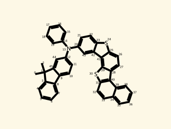 CC1(C)c2ccccc2-c2ccc(N(c3ccccc3)c3ccc4sc5ccc6c(sc7ccc8ccccc8c76)c5c4c3)cc21